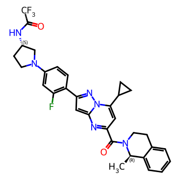 C[C@@H]1c2ccccc2CCN1C(=O)c1cc(C2CC2)n2nc(-c3ccc(N4CC[C@H](NC(=O)C(F)(F)F)C4)cc3F)cc2n1